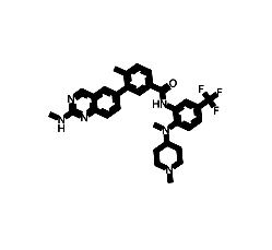 CNc1ncc2cc(-c3cc(C(=O)Nc4cc(C(F)(F)F)ccc4N(C)C4CCN(C)CC4)ccc3C)ccc2n1